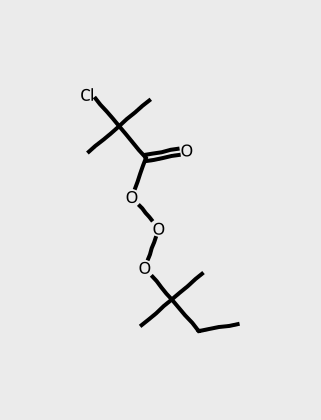 CCC(C)(C)OOOC(=O)C(C)(C)Cl